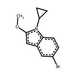 COc1cc2cc(Br)ccc2n1C1CC1